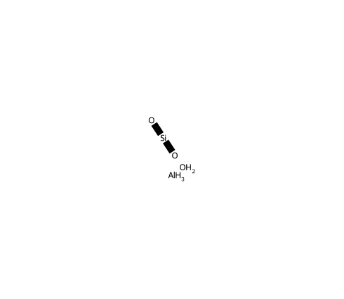 O.O=[Si]=O.[AlH3]